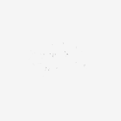 O=[N+]([O-])c1ccccc1N1CCN(CC2CCOC2)CC1